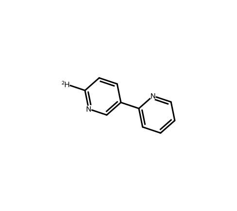 [2H]c1ccc(-c2ccccn2)cn1